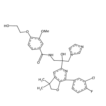 COc1cc(C(=O)NCC(O)(Cn2ccnc2)c2cc3c(c(-c4ccc(F)c(Cl)c4)n2)OCC3(C)C)ccc1OCCO